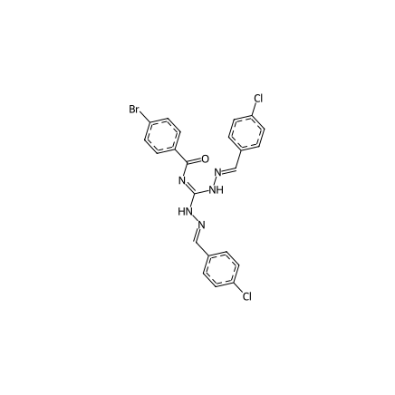 O=C(N=C(N/N=C/c1ccc(Cl)cc1)N/N=C/c1ccc(Cl)cc1)c1ccc(Br)cc1